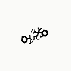 CCN(CCCC(C#N)(c1ccccc1Cl)C(C)C)C(C)c1ccccc1